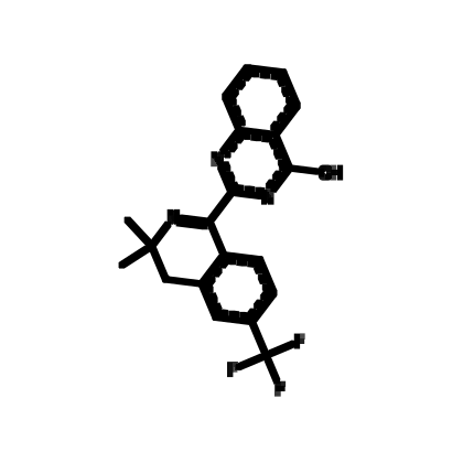 CC1(C)Cc2cc(C(F)(F)F)ccc2C(c2nc(O)c3ccccc3n2)=N1